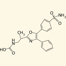 CC(CNC(=O)O)c1nc(-c2ccccc2)c(-c2ccc(S(N)(=O)=O)cc2)o1